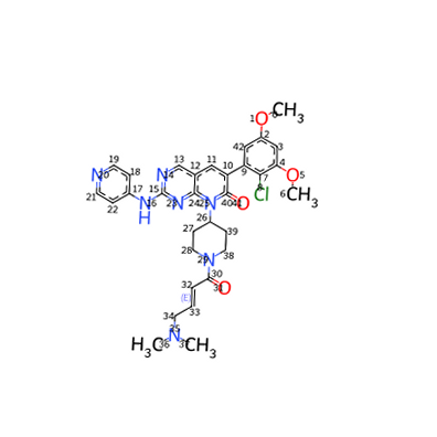 COc1cc(OC)c(Cl)c(-c2cc3cnc(Nc4ccncc4)nc3n(C3CCN(C(=O)/C=C/CN(C)C)CC3)c2=O)c1